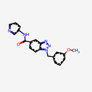 COc1cccc(Cn2nnc3cc(C(=O)Nc4cccnc4)ccc32)c1